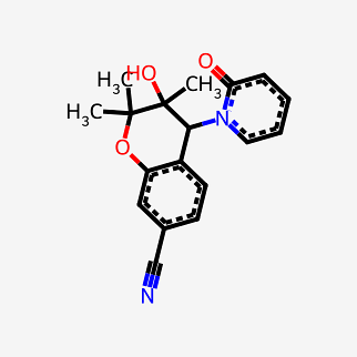 CC1(C)Oc2cc(C#N)ccc2C(n2ccccc2=O)C1(C)O